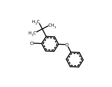 CC(C)(C)c1cc(Oc2[c]cccc2)ccc1Cl